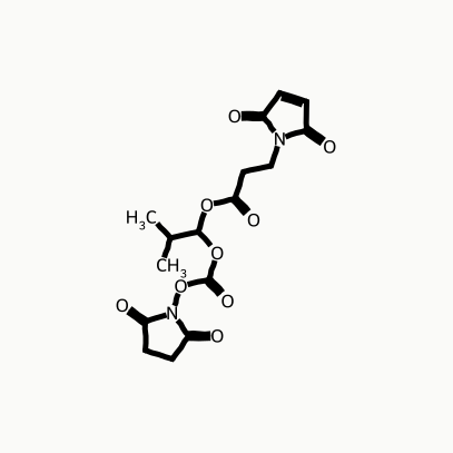 CC(C)C(OC(=O)CCN1C(=O)C=CC1=O)OC(=O)ON1C(=O)CCC1=O